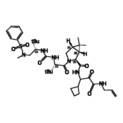 C=CCNC(=O)C(=O)C(NC(=O)[C@@H]1[C@@H]2[C@H](CN1C(=O)[C@@H](NC(=O)N[C@H](CN(C)S(=O)(=O)c1ccccc1)C(C)(C)C)C(C)(C)C)C2(C)C)C1CCC1